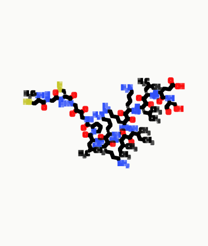 CC[C@H](C)[C@H](NN[C@@H](CCCCN)C(=O)C(=O)[C@H](CCCCN)NN[C@@H](CC(C)C)C(=O)C(=O)[C@H](CC(C)C)NN[C@@H](CCC(=O)O)C(=O)N[C@H](C=O)CO)C(=O)C(=O)[C@@H](NN[C@@H](CCCCN)C(=O)C(=O)[C@H](CCCCN)NN[C@@H](CC(C)C)C(=O)N1CCC[C@H]1C(=O)NCC(=O)C(=O)CNC(=O)[C@@H](CS)NC(=O)CNC(=O)C(CS)NC)[C@@H](C)CC